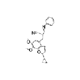 COc1cc(CC(C#N)/C=N/c2ccccc2)c2c(c1OC)OC(C1CC1)C=C2